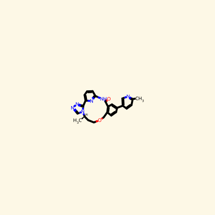 Cc1ccc(-c2ccc3c(c2)C(=O)Nc2cccc(n2)-c2nncn2[C@H](C)CCOC3)cn1